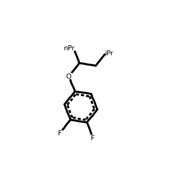 [CH2]CCC(CC(C)C)Oc1ccc(F)c(F)c1